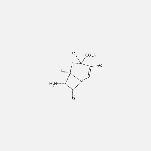 CC(=O)C1=CN2C(=O)C(N)[C@H]2SC1(C(C)=O)C(=O)O